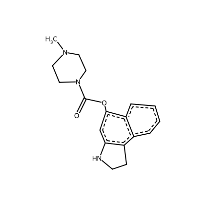 CN1CCN(C(=O)Oc2cc3c(c4ccccc24)CCN3)CC1